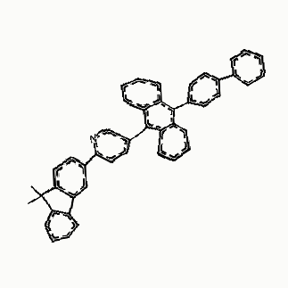 CC1(C)c2ccccc2-c2cc(-c3ccc(-c4c5ccccc5c(-c5ccc(-c6ccccc6)cc5)c5ccccc45)cn3)ccc21